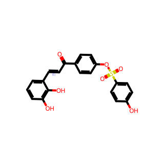 O=C(/C=C/c1cccc(O)c1O)c1ccc(OS(=O)(=O)c2ccc(O)cc2)cc1